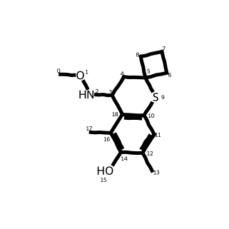 CONC1CC2(CCC2)Sc2cc(C)c(O)c(C)c21